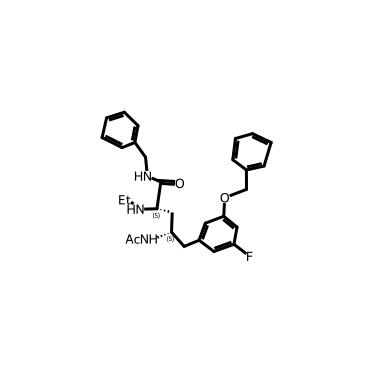 CCN[C@@H](C[C@H](Cc1cc(F)cc(OCc2ccccc2)c1)NC(C)=O)C(=O)NCc1ccccc1